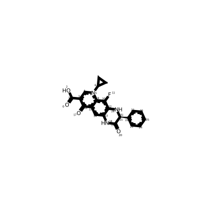 O=C(O)c1cn(C2CC2)c2c(F)c3c(cc2c1=O)NC(=O)[C@H](c1ccccc1)N3